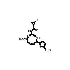 Cc1cccc(-c2ccc(C=O)s2)[nH]cc(NC(=O)[C@H]2C[C@@H]2F)n1